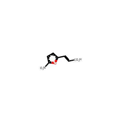 O=C(O)C=Cc1ccc([N+](=O)[O-])o1